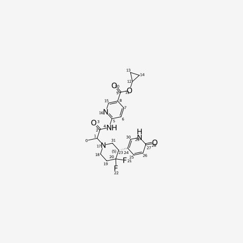 CC(C(=O)Nc1ccc(C(=O)OC2CC2)cn1)N1CCC(F)(F)[C@@H](c2ccc(=O)[nH]c2)C1